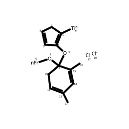 CCCOC1(OC2=[C]([Ti+2])CC=C2)CC=C(C)C=C1C.[Cl-].[Cl-]